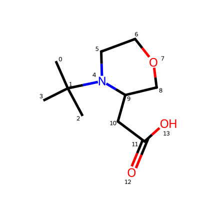 CC(C)(C)N1CCOCC1CC(=O)O